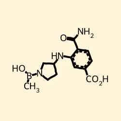 CB(O)N1CCC(Nc2cc(C(=O)O)ccc2C(N)=O)C1